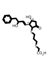 O=C(O)CSCCCSC1C(=O)C[C@@H](O)[C@@H]1C=CC(O)Cc1ccccc1